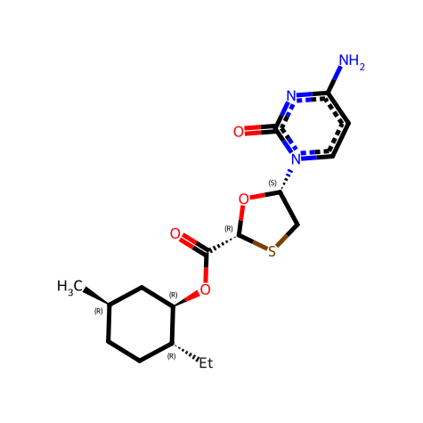 CC[C@@H]1CC[C@@H](C)C[C@H]1OC(=O)[C@@H]1O[C@H](n2ccc(N)nc2=O)CS1